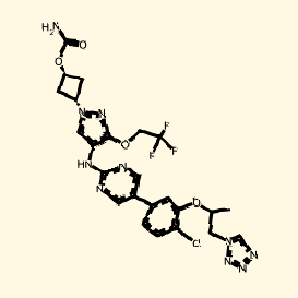 CC(Cn1cnnn1)Oc1cc(-c2cnc(Nc3cn([C@H]4C[C@H](OC(N)=O)C4)nc3OCC(F)(F)F)nc2)ccc1Cl